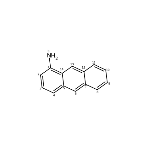 Nc1[c]ccc2cc3ccccc3cc12